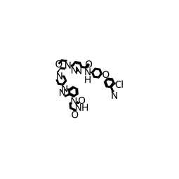 N#Cc1ccc(O[C@H]2CC[C@H](NC(=O)c3ccc(N4CCO[C@H](CN5CCC(n6ncc7c(N8CCC(=O)NC8=O)cccc76)CC5)C4)nn3)CC2)cc1Cl